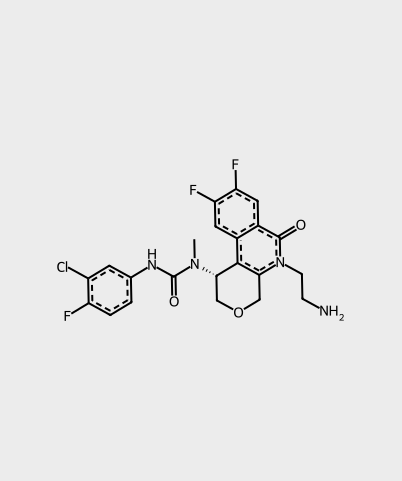 CN(C(=O)Nc1ccc(F)c(Cl)c1)[C@H]1COCc2c1c1cc(F)c(F)cc1c(=O)n2CCN